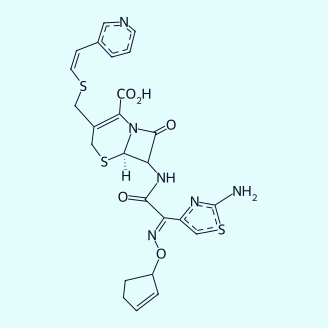 Nc1nc(/C(=N\OC2C=CCC2)C(=O)NC2C(=O)N3C(C(=O)O)=C(CS/C=C\c4cccnc4)CS[C@H]23)cs1